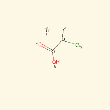 CC(Cl)C(=O)O.[Tl]